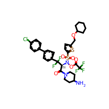 NC1CCN(C(=O)[C@H](N(OC(=O)C(F)(F)F)S(=O)(=O)c2ccc(COC3CCCCC3)s2)C(F)(F)c2ccc(-c3ccc(Cl)cc3)cc2)CC1